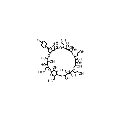 CCN1CCN(CCC2OC(O)/C(O)=C(\O)C(CCO)OC3OC(CO)C(OC(O)/C(O)=C(\O)C(CCO)OC(O)/C(O)=C(/O)C(CCO)OC(O)/C(O)=C(/O)C(CCO)OC(O)/C(O)=C\2O)C(O)C3O)CC1